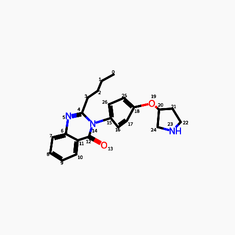 CCCCc1nc2ccccc2c(=O)n1-c1ccc(OC2CCNC2)cc1